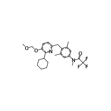 COCOc1ccc(Cc2c(C)cc(N(C)C(=O)C(F)(F)F)cc2C)nc1C1CCCCC1